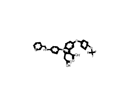 O=C(O)Cc1c(C(=O)O)c2cc(Oc3ccc(OC(F)(F)F)cc3)ccc2n1-c1ccc(NCc2cccnc2)cc1